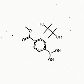 CC(C)(O)C(C)(C)O.COC(=O)c1ccc(B(O)O)cn1